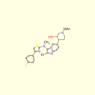 CCc1nc2ccc(C3CCN(SC)CC3O)cn2c1N(C)c1nc(-c2ccc(F)cc2)cs1